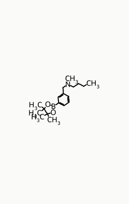 CCCCN(C)Cc1cccc(B2OC(C)(C)C(C)(C)O2)c1